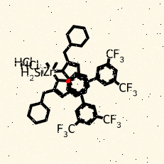 Cl.Cl.[CH3][Zr]([CH3])(=[SiH2])([CH]1C(CC2CCCCC2)=Cc2c(-c3cc(C(F)(F)F)cc(C(F)(F)F)c3)cccc21)[CH]1C(CC2CCCCC2)=Cc2c(-c3cc(C(F)(F)F)cc(C(F)(F)F)c3)cccc21